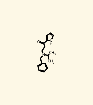 CC(C)N(CCC(=O)c1ccc[nH]1)Cc1ccccc1